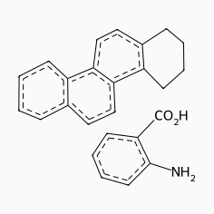 Nc1ccccc1C(=O)O.c1ccc2c(c1)ccc1c3c(ccc12)CCCC3